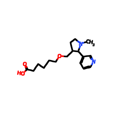 CN1CCC(COCCCCCC(=O)O)C1c1cccnc1